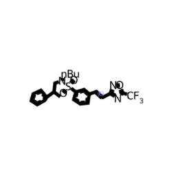 CCCCN(CC(C)c1ccccc1)S(=O)(=O)c1cccc(/C=C/c2noc(C(F)(F)F)n2)c1